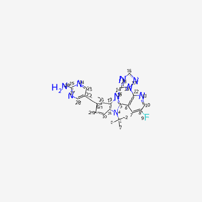 CC(C)(C)n1c(-c2cc(F)cnc2-n2cncn2)nc2cc(-c3cnc(N)nc3)ccc21